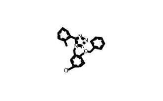 Cc1ccccc1-c1nnnn1Cc1cc(Cl)ccc1OCc1ccccc1